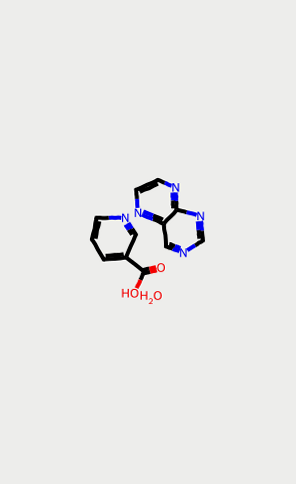 O.O=C(O)c1cccnc1.c1cnc2ncncc2n1